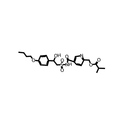 CCCCOc1ccc(C(O)CS(=O)(=O)NC(=O)c2ccc(COC(=O)C(C)C)nc2)cc1